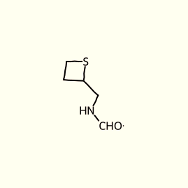 O=[C]NCC1CCS1